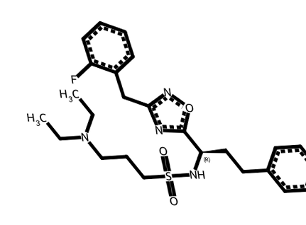 CCN(CC)CCCS(=O)(=O)N[C@H](CCc1ccccc1)c1nc(Cc2ccccc2F)no1